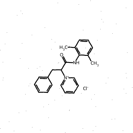 Cc1cccc(C)c1NC(=O)C(Cc1ccccc1)[n+]1ccccc1.[Cl-]